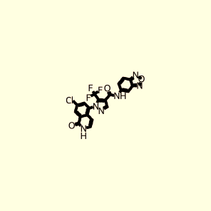 O=C(Nc1ccc2nonc2c1)c1cnn(-c2cc(Cl)cc3c(=O)[nH]ccc23)c1C(F)(F)F